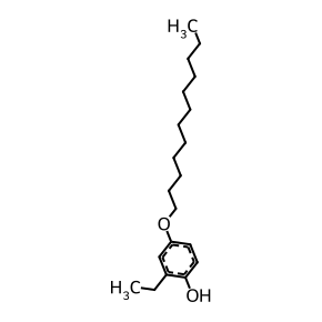 CCCCCCCCCCCCOc1ccc(O)c(CC)c1